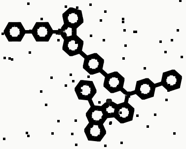 c1ccc(-c2ccc(N(c3ccc(-c4ccc(-c5ccc6c(c5)c5ccccc5n6-c5ccc(-c6ccccc6)cc5)cc4)cc3)c3cccc4c3oc3c(-c5ccccc5)cc5ccccc5c34)cc2)cc1